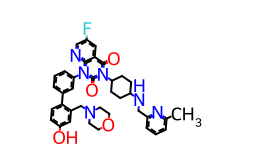 Cc1cccc(CNC2CCC(n3c(=O)c4cc(F)cnc4n(-c4cccc(-c5ccc(O)cc5CN5CCOCC5)c4)c3=O)CC2)n1